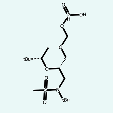 C[C@H](O[C@H](COCO[PH](=O)O)CN(C(C)(C)C)S(C)(=O)=O)C(C)(C)C